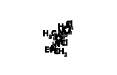 CCN(C)C=Nc1cc(C)c(Nc2cccc(Cl)c2)cc1Cl